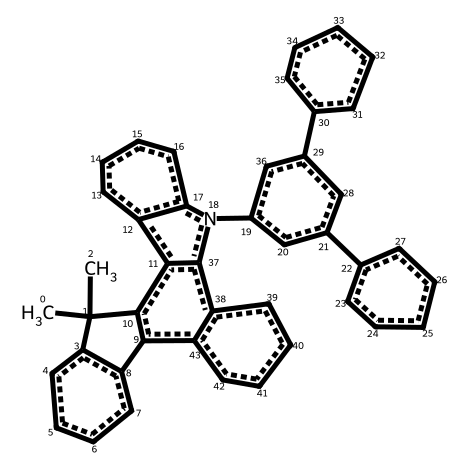 CC1(C)c2ccccc2-c2c1c1c3ccccc3n(-c3cc(-c4ccccc4)cc(-c4ccccc4)c3)c1c1ccccc21